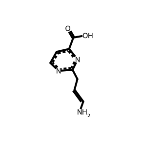 NC=CCc1nccc(C(=O)O)n1